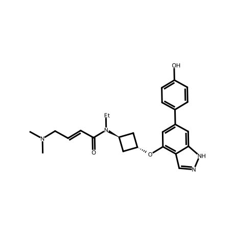 CCN(C(=O)/C=C/CN(C)C)[C@H]1C[C@H](Oc2cc(-c3ccc(O)cc3)cc3[nH]ncc23)C1